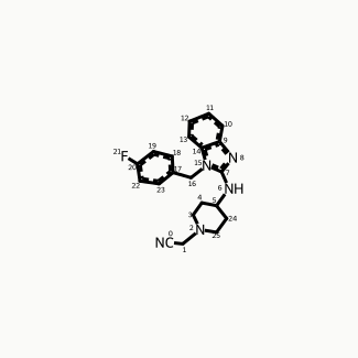 N#CCN1CCC(Nc2nc3ccccc3n2Cc2ccc(F)cc2)CC1